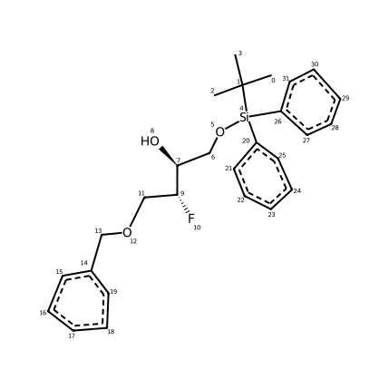 CC(C)(C)[Si](OC[C@H](O)[C@H](F)COCc1ccccc1)(c1ccccc1)c1ccccc1